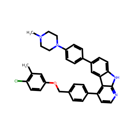 Cc1cc(OCc2ccc(-c3ccnc4[nH]c5ccc(-c6ccc(N7CCN(C)CC7)cc6)cc5c34)cc2)ccc1Cl